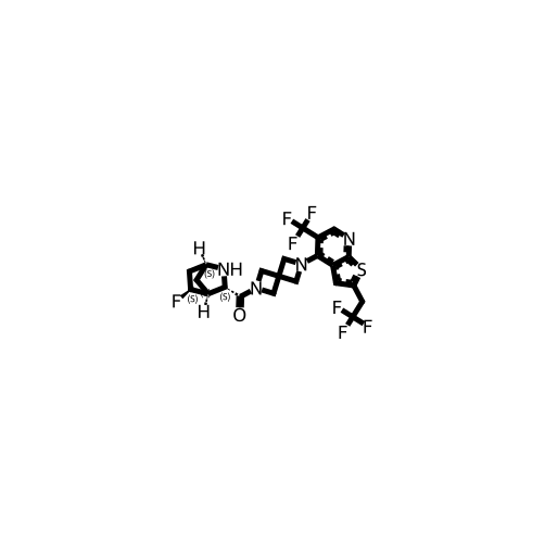 O=C([C@H]1N[C@H]2C[C@@H]1[C@@H](F)C2)N1CC2(C1)CN(c1c(C(F)(F)F)cnc3sc(CC(F)(F)F)cc13)C2